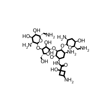 NC[C@@H]1O[C@H](O[C@H]2[C@@H](O)[C@H](O[C@@H]3[C@@H](O)[C@H](NC(=O)C4(O)CC(N)C4)C[C@H](N)[C@H]3O[C@H]3O[C@H](CN)[C@H](O)C[C@H]3N)O[C@@H]2CO)[C@H](N)[C@@H](O)[C@@H]1O